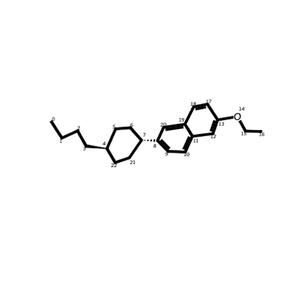 CCCC[C@H]1CC[C@H](c2ccc3cc(OCC)ccc3c2)CC1